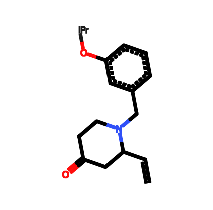 C=CC1CC(=O)CCN1Cc1cccc(OC(C)C)c1